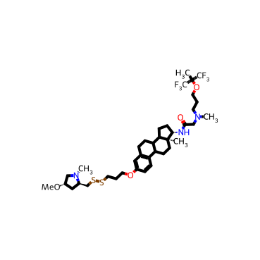 CO[C@H]1C[C@H](CSSCCCOc2ccc3c(c2)CCC2C3CC[C@@]3(C)C2CC[C@@H]3NC(=O)CN(C)CCCOC(C)(C(F)(F)F)C(F)(F)F)N(C)C1